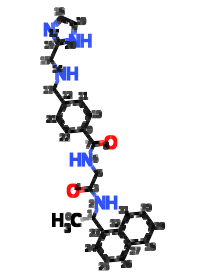 C[C@H](NC(=O)CNC(=O)c1ccc(CNCc2ncc[nH]2)cc1)c1cccc2ccccc12